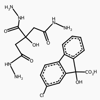 NNC(=O)CC(O)(CC(=O)NN)C(=O)NN.O=C(O)C1(O)c2ccccc2-c2ccc(Cl)cc21